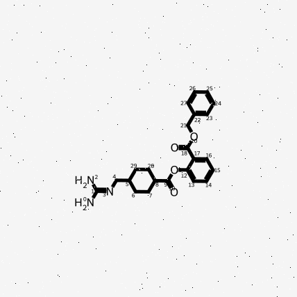 NC(N)=NCC1CCC(C(=O)Oc2ccccc2C(=O)OCc2ccccc2)CC1